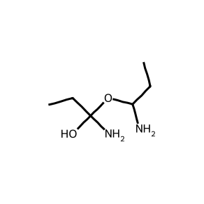 CCC(N)OC(N)(O)CC